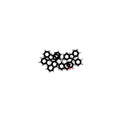 c1ccc(-c2ccc3cccc4c3c2C2(c3ccccc3-c3ccc(N(c5ccc6c(c5)C(c5ccccc5)(c5ccccc5)c5ccccc5-6)c5cccc6ccccc56)cc32)c2ccccc2-4)cc1